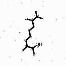 CC(C)C(C)CCCCC(C)C(C)O